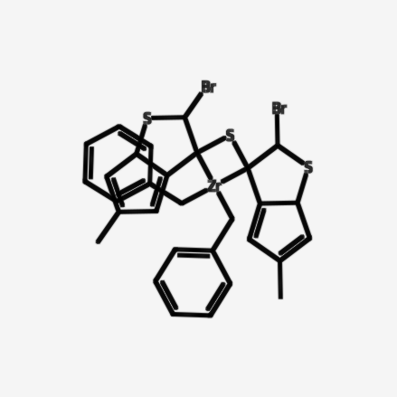 CC1=CC2SC(Br)[C]3(S[C]4(C5=CC(C)=CC5SC4Br)[Zr]3([CH2]c3ccccc3)[CH2]c3ccccc3)C2=C1